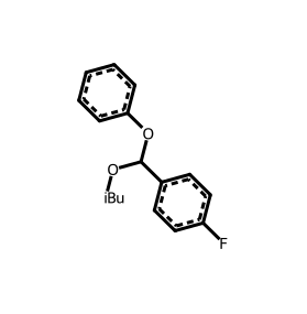 CCC(C)OC(Oc1ccccc1)c1ccc(F)cc1